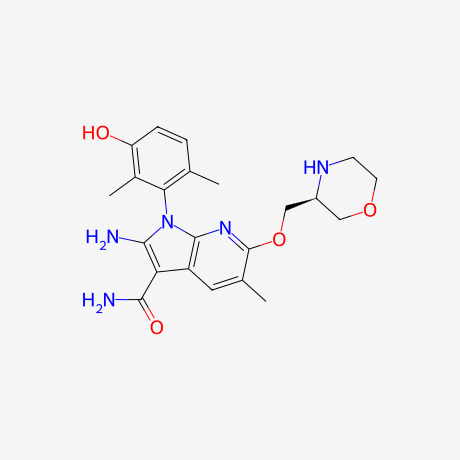 Cc1cc2c(C(N)=O)c(N)n(-c3c(C)ccc(O)c3C)c2nc1OC[C@@H]1COCCN1